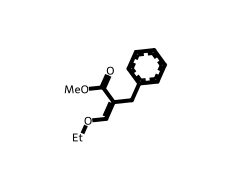 CCO/C=C(/Cc1ccccc1)C(=O)OC